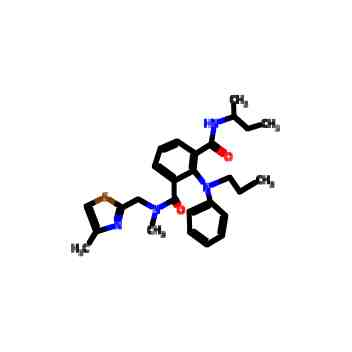 CCCN(c1ccccc1)c1c(C(=O)NC(C)CC)cccc1C(=O)N(C)Cc1nc(C)cs1